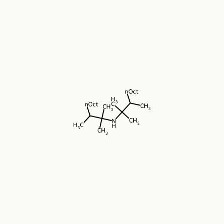 CCCCCCCCC(C)C(C)(C)NC(C)(C)C(C)CCCCCCCC